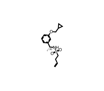 C=CCCS(=O)(=O)N[C@H](C)c1cccc(OCC2CC2)c1